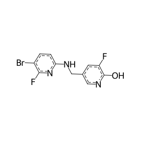 Oc1ncc(CNc2ccc(Br)c(F)n2)cc1F